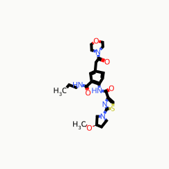 CCCNC(=O)c1cc(CC(=O)N2CCOCC2)ccc1NC(=O)c1csc(N2CC[C@H](OC)C2)n1